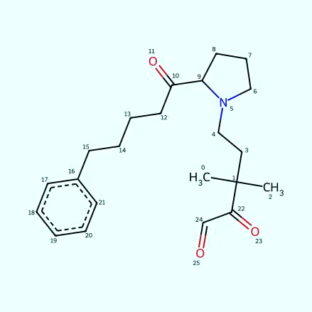 CC(C)(CCN1CCCC1C(=O)CCCCc1ccccc1)C(=O)C=O